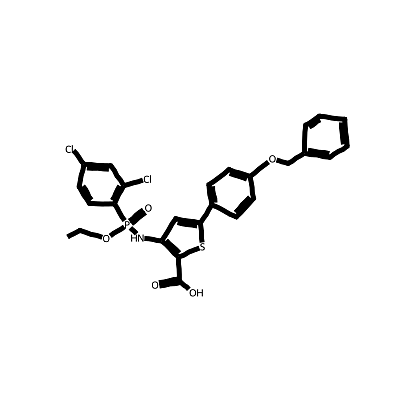 CCOP(=O)(Nc1cc(-c2ccc(OCc3ccccc3)cc2)sc1C(=O)O)c1ccc(Cl)cc1Cl